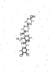 Cc1c(C(=O)N2CCC(N3CCC(O)CC3)CC2)ccnc1NCc1ccc(Cl)c(Cl)c1